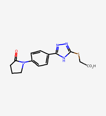 O=C(O)CSc1nnc(-c2ccc(N3CCCC3=O)cc2)[nH]1